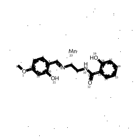 COc1ccc(C=NCCNC(=O)c2ccccc2O)c(O)c1.[Mn]